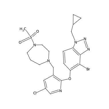 CS(=O)(=O)N1CCCN(Cc2cc(Cl)cnc2Oc2ccc3c(nnn3CC3CC3)c2Br)CC1